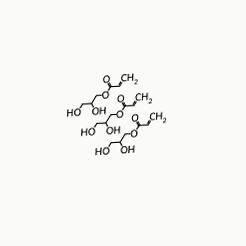 C=CC(=O)OCC(O)CO.C=CC(=O)OCC(O)CO.C=CC(=O)OCC(O)CO